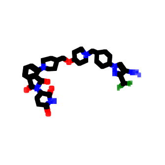 Nc1cn(C2CCC(CN3CCC(OCC4CCN(c5cccc6c5C(=O)N(C5CCC(=O)NC5=O)C6=O)CC4)CC3)CC2)nc1C(F)F